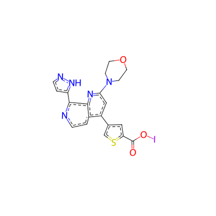 O=C(OI)c1cc(-c2cc(N3CCOCC3)nc3c(-c4ccn[nH]4)nccc23)cs1